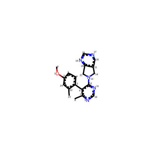 COc1ccc(-c2c(C)ncnc2N2Cc3cncnc3C2)c(C)c1